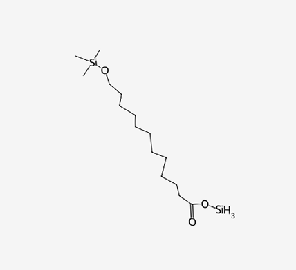 C[Si](C)(C)OCCCCCCCCCCCC(=O)O[SiH3]